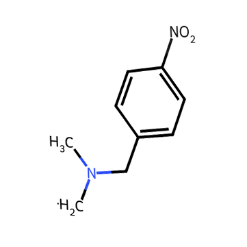 [CH2]N(C)Cc1ccc([N+](=O)[O-])cc1